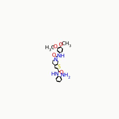 COc1ccc(NC(=O)N2CCc3cc(C(=O)Nc4ccccc4N)sc3C2)cc1OC